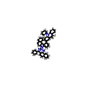 CC1(C)c2ccccc2N(c2ccccc2)c2ccc(-c3cccc4c3c3c5ccccc5ccc3n4-c3nc(-c4ccccc4)c4ccc5ccccc5c4n3)cc21